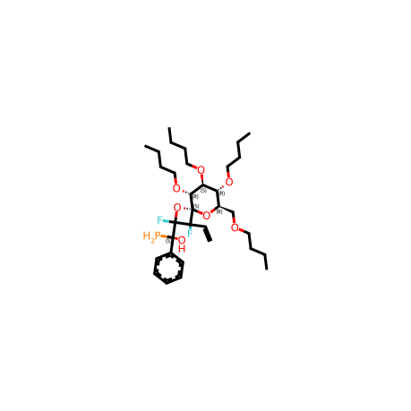 C=CC1(F)C(F)([C@@](O)(P)c2ccccc2)O[C@]12O[C@H](COCCCC)[C@@H](OCCCC)[C@H](OCCCC)[C@H]2OCCCC